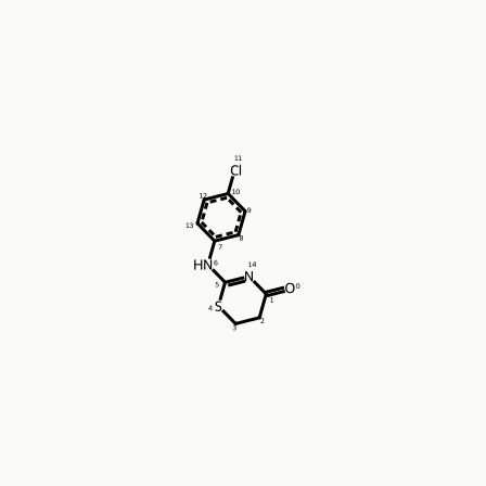 O=C1CCSC(Nc2ccc(Cl)cc2)=N1